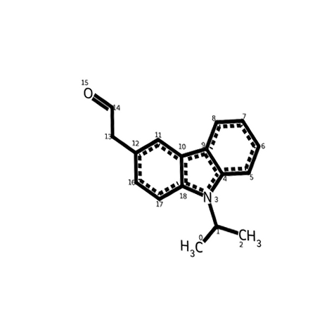 CC(C)n1c2ccccc2c2cc(CC=O)ccc21